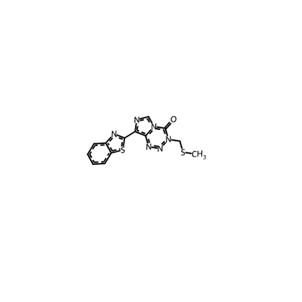 CSCn1nnc2c(-c3nc4ccccc4s3)ncn2c1=O